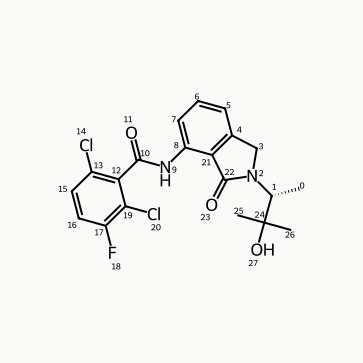 C[C@@H](N1Cc2cccc(NC(=O)c3c(Cl)ccc(F)c3Cl)c2C1=O)C(C)(C)O